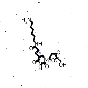 NCCCCCCNC(=O)/C=C/c1cn([C@H]2CC(=O)[C@@H](CO)O2)c(=O)[nH]c1=O